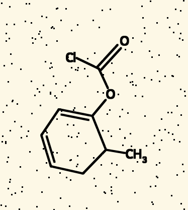 CC1CC=CC=C1OC(=O)Cl